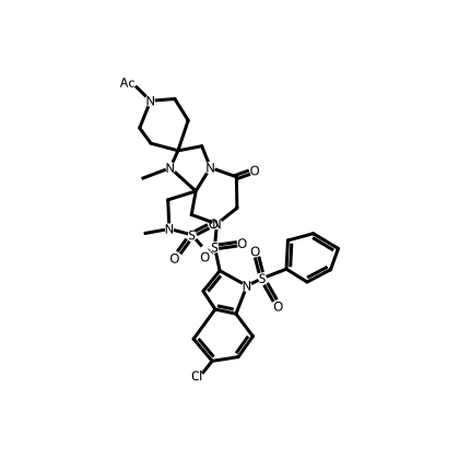 CC(=O)N1CCC2(CC1)CN1C(=O)CN(S(=O)(=O)c3cc4cc(Cl)ccc4n3S(=O)(=O)c3ccccc3)CC1(CN(C)S(C)(=O)=O)N2C